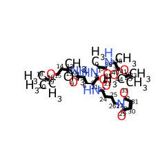 C[C@H](NC(=O)[C@H](CCC(=O)NC(C)(C)CCOC(C)(C)C)NC(=O)CCCN1C(=O)C=CC1=O)C(=O)N[C@@H](C)C(=O)OC(C)(C)C